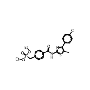 CCOP(=O)(Cc1ccc(C(=O)Nc2nc(-c3ccc(Cl)cc3)c(C)s2)cc1)OCC